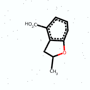 CC1Cc2c(cccc2C(=O)O)O1